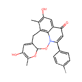 CC1=C(O)C=C2Cc3c(C)c(O)cc4c(=O)cc(-c5ccc(C)cc5)n(c34)OC2O1